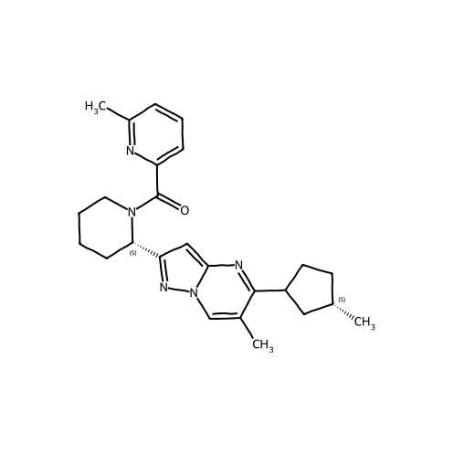 Cc1cccc(C(=O)N2CCCC[C@H]2c2cc3nc(C4CC[C@H](C)C4)c(C)cn3n2)n1